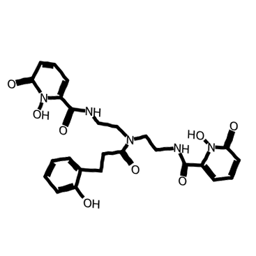 O=C(NCCN(CCNC(=O)c1cccc(=O)n1O)C(=O)CCc1ccccc1O)c1cccc(=O)n1O